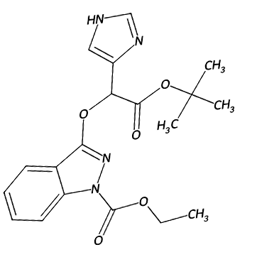 CCOC(=O)n1nc(OC(C(=O)OC(C)(C)C)c2c[nH]cn2)c2ccccc21